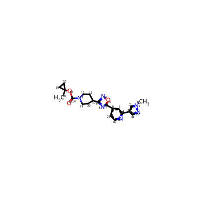 Cn1cc(-c2cc(-c3nc(C4CCN(C(=O)OC5(C)CC5)CC4)no3)ccn2)cn1